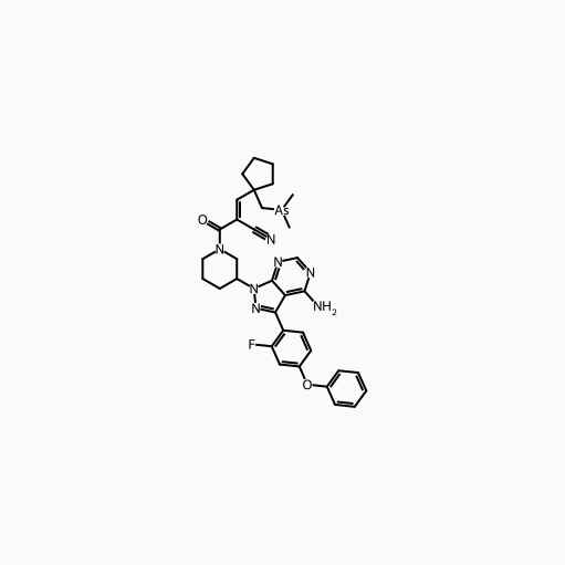 C[As](C)CC1(C=C(C#N)C(=O)N2CCCC(n3nc(-c4ccc(Oc5ccccc5)cc4F)c4c(N)ncnc43)C2)CCCC1